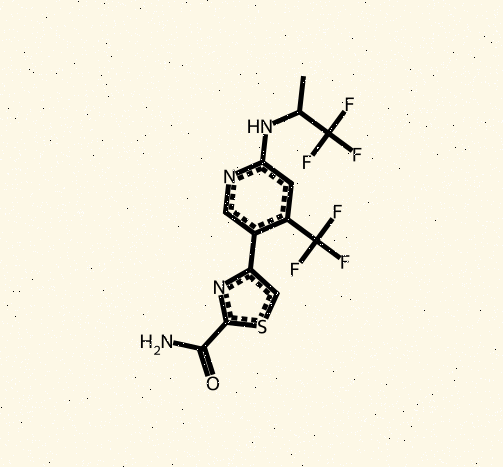 CC(Nc1cc(C(F)(F)F)c(-c2csc(C(N)=O)n2)cn1)C(F)(F)F